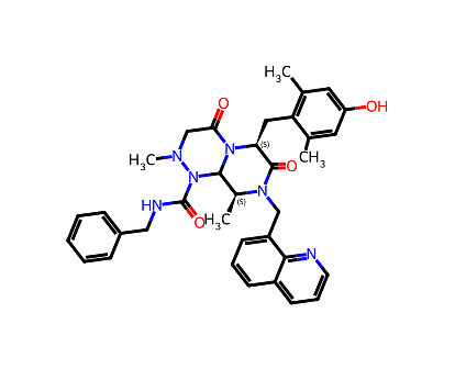 Cc1cc(O)cc(C)c1C[C@H]1C(=O)N(Cc2cccc3cccnc23)[C@@H](C)C2N1C(=O)CN(C)N2C(=O)NCc1ccccc1